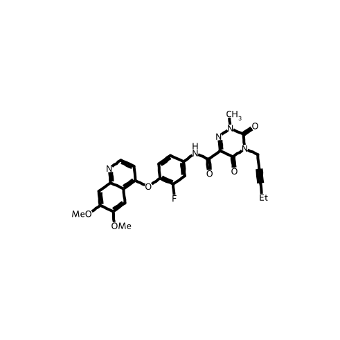 CCC#CCn1c(=O)c(C(=O)Nc2ccc(Oc3ccnc4cc(OC)c(OC)cc34)c(F)c2)nn(C)c1=O